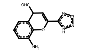 Nc1cccc2c1OC(c1nnn[nH]1)=CC2C=O